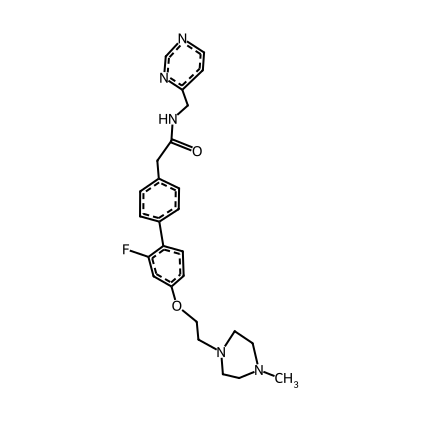 CN1CCN(CCOc2ccc(-c3ccc(CC(=O)NCc4ccncn4)cc3)c(F)c2)CC1